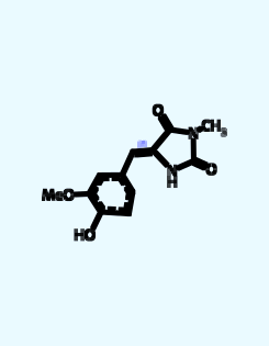 COc1cc(/C=C2\NC(=O)N(C)C2=O)ccc1O